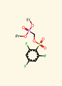 CCOP(=O)(COS(=O)(=O)c1c(F)cc(F)cc1F)OC(C)C